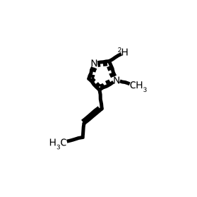 [2H]c1ncc(C=CCC)n1C